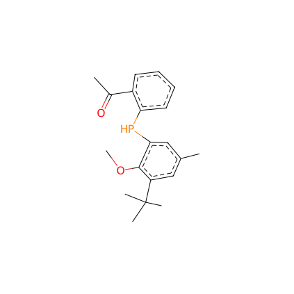 COc1c(Pc2ccccc2C(C)=O)cc(C)cc1C(C)(C)C